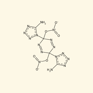 Nc1nnnn1C1(O[N+](=O)[O-])N=NC(O[N+](=O)[O-])(n2nnnc2N)N=N1